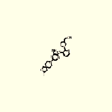 C[C@H]1CC2(CCN(c3cnc(Sc4cccnc4N4CCC(CC#N)C4)c(N)n3)CC2)CO1